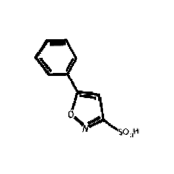 O=S(=O)(O)c1cc(-c2ccccc2)on1